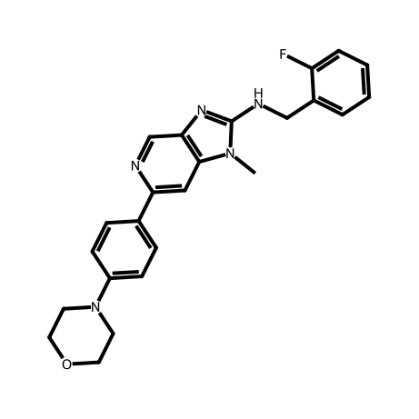 Cn1c(NCc2ccccc2F)nc2cnc(-c3ccc(N4CCOCC4)cc3)cc21